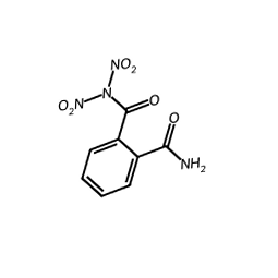 NC(=O)c1ccccc1C(=O)N([N+](=O)[O-])[N+](=O)[O-]